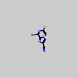 N#Cc1cn2cc(Br)nc(Br)c2n1